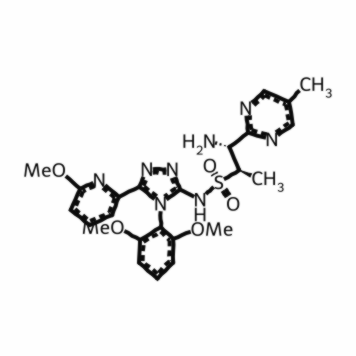 COc1cccc(-c2nnc(NS(=O)(=O)[C@H](C)[C@H](N)c3ncc(C)cn3)n2-c2c(OC)cccc2OC)n1